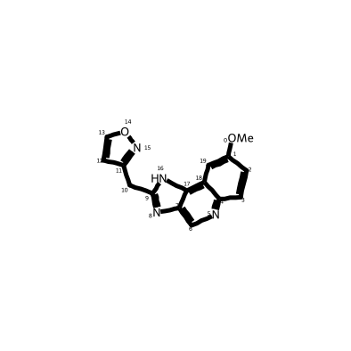 COc1ccc2ncc3nc(Cc4ccon4)[nH]c3c2c1